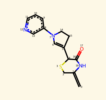 C=C1CSC(C2=CN(c3cccnc3)CC2)C(=O)N1